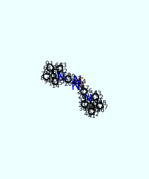 c1ccc([Si]2(c3ccccc3)c3ccccc3N(c3ccc(-c4nsc(-c5ccc(N6c7ccccc7[Si](c7ccccc7)(c7ccccc7)c7ccccc76)cc5)n4)cc3)c3ccccc32)cc1